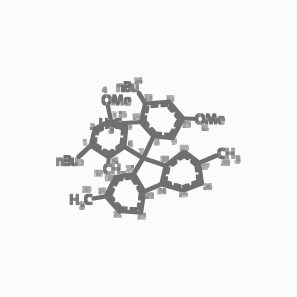 CCCCc1cc(OC)cc(C2(c3cc(OC)cc(CCCC)c3C)c3cc(C)ccc3-c3ccc(C)cc32)c1C